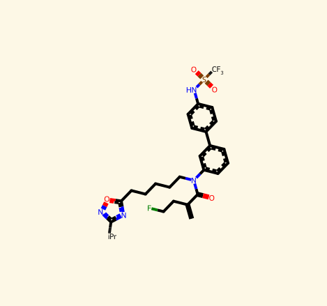 C=C(CCF)C(=O)N(CCCCCc1nc(C(C)C)no1)c1cccc(-c2ccc(NS(=O)(=O)C(F)(F)F)cc2)c1